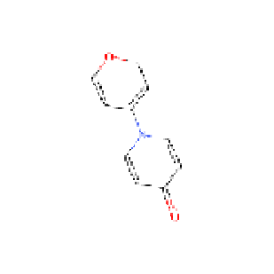 O=c1ccn(C2=CCOC=C2)cc1